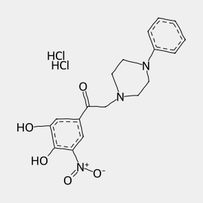 Cl.Cl.O=C(CN1CCN(c2ccccc2)CC1)c1cc(O)c(O)c([N+](=O)[O-])c1